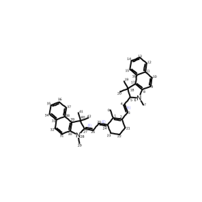 CC1=C(/C=C/C2N(C)c3ccc4ccccc4c3C2(C)C)CCC/C1=C\C=C1\N(C)c2ccc3ccccc3c2C1(C)C